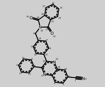 N#Cc1ccc2nc(-c3ccccc3)c(-c3ccc(CN4C(=O)c5ccccc5C4=O)cc3)nc2c1